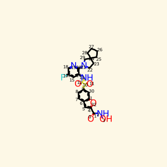 O=C(NO)c1cc2ccc(S(=O)(=O)Nc3cc(F)cnc3N3CCC4(CCCC4)C3)cc2o1